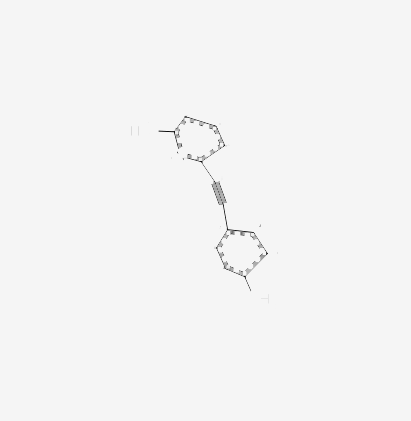 Cc1ccc(C#Cc2cccc(C)n2)cc1